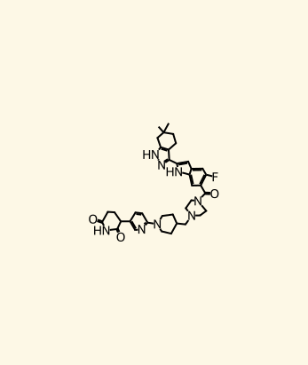 CC1(C)CCc2c(-c3cc4cc(F)c(C(=O)N5CCN(CC6CCN(c7ccc(C8CCC(=O)NC8=O)cn7)CC6)CC5)cc4[nH]3)n[nH]c2C1